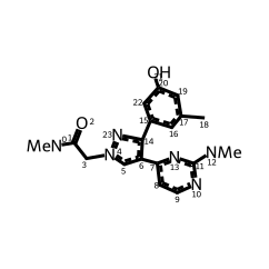 CNC(=O)Cn1cc(-c2ccnc(NC)n2)c(-c2cc(C)cc(O)c2)n1